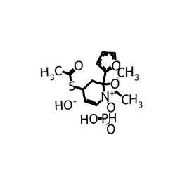 CC[N+]1(O[PH](=O)O)C=CC(SC(C)=O)CC1(OC)c1ccco1.[OH-]